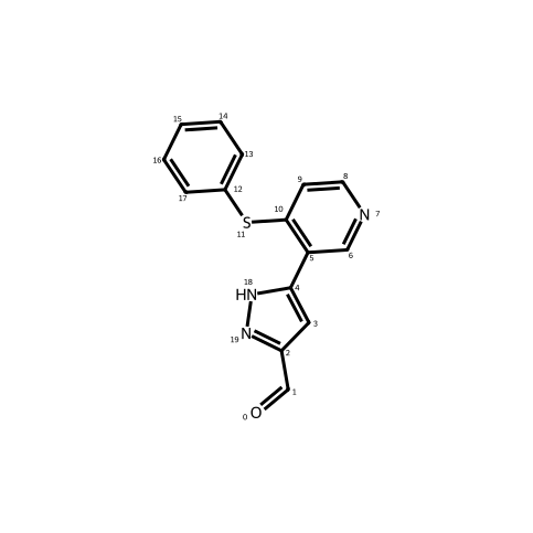 O=Cc1cc(-c2cnccc2Sc2ccccc2)[nH]n1